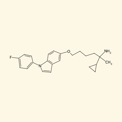 CC(N)(CCCCOc1ccc2c(ccn2-c2ccc(F)cc2)c1)C1CC1